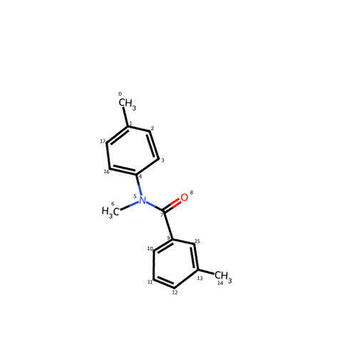 Cc1ccc(N(C)C(=O)c2cccc(C)c2)cc1